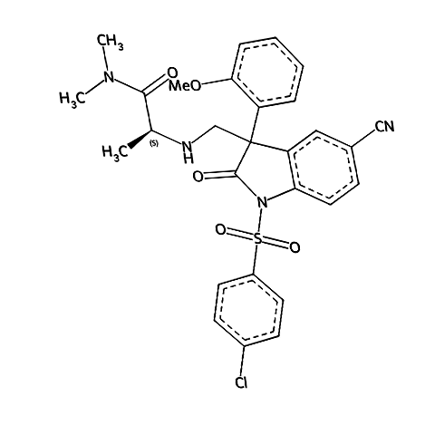 COc1ccccc1C1(CN[C@@H](C)C(=O)N(C)C)C(=O)N(S(=O)(=O)c2ccc(Cl)cc2)c2ccc(C#N)cc21